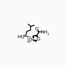 CC(C)CCB(O)O.NC(=O)c1cnco1